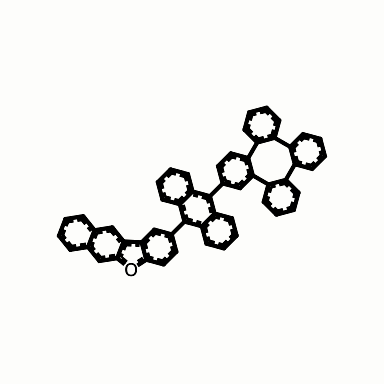 c1ccc2c(c1)-c1ccccc1-c1ccc(-c3c4ccccc4c(-c4ccc5oc6cc7ccccc7cc6c5c4)c4ccccc34)cc1-c1ccccc1-2